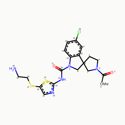 COC(=O)N1CCC2(C1)CN(C(=O)Nc1ncc(SCCN)s1)c1ccc(Cl)cc12